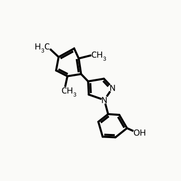 Cc1cc(C)c(-c2cnn(-c3cccc(O)c3)c2)c(C)c1